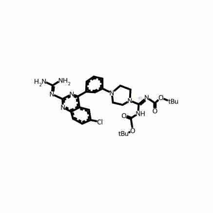 CC(C)(C)OC(=O)/N=C(\NC(=O)OC(C)(C)C)N1CCN(c2cccc(-c3nc(N=C(N)N)nc4ccc(Cl)cc34)c2)CC1